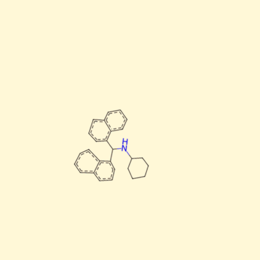 c1ccc2c(C(NC3CCCCC3)c3cccc4ccccc34)cccc2c1